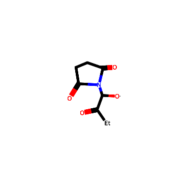 CCC(=O)C([O])N1C(=O)CCC1=O